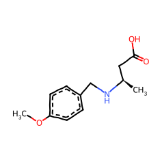 COc1ccc(CN[C@H](C)CC(=O)O)cc1